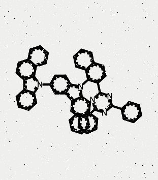 c1ccc(-c2nc(-c3ccccc3)nc(-c3ccc4ccccc4c3-n3c4ccc(-n5c6ccccc6c6ccc7ccccc7c65)cc4c4cc5ccccc5cc43)n2)cc1